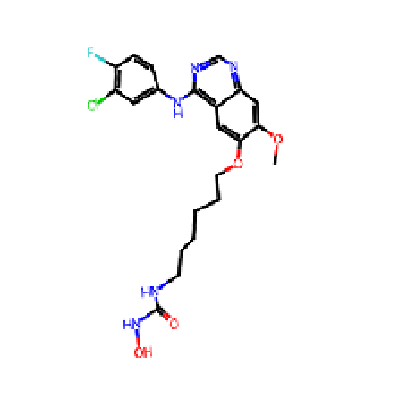 COc1cc2ncnc(Nc3ccc(F)c(Cl)c3)c2cc1OCCCCCCNC(=O)NO